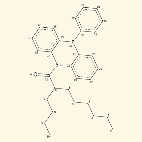 CCCCCCC(CCCC)C(=O)Sc1ccccc1P(c1ccccc1)c1ccccc1